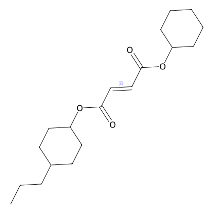 CCCC1CCC(OC(=O)/C=C/C(=O)OC2CCCCC2)CC1